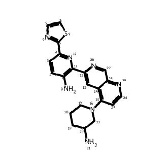 Nc1ccc(-c2nccs2)nc1-c1cc2c(N3CCCC(N)C3)ccnc2cn1